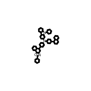 c1ccc(-c2nc3cc(-c4ccc(N(c5ccc(-c6cccc7ccccc67)cc5)c5ccc6c7ccccc7n(-c7ccccc7)c6c5)cc4)c4ccccc4c3o2)cc1